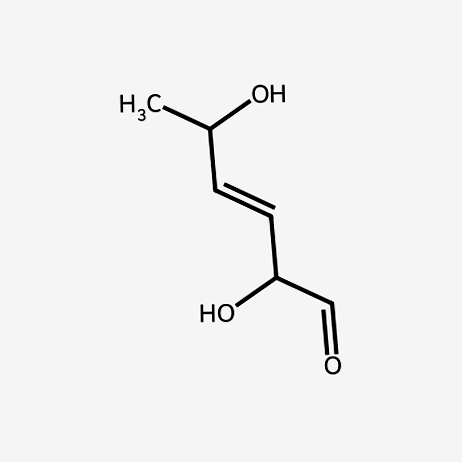 CC(O)C=CC(O)C=O